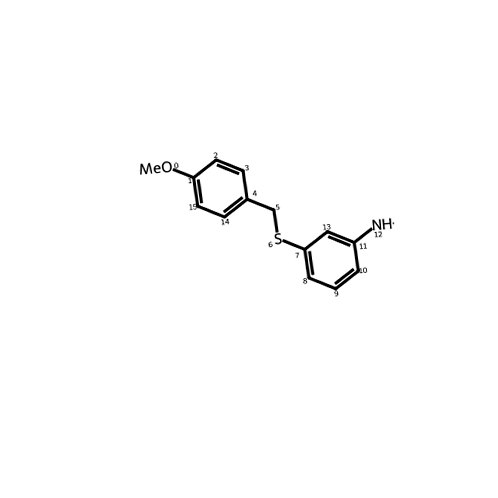 COc1ccc(CSc2cccc([NH])c2)cc1